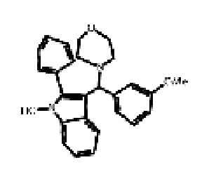 COc1cccc(C(c2c(-c3ccccc3)n(O)c3ccccc23)N2CCOCC2)c1